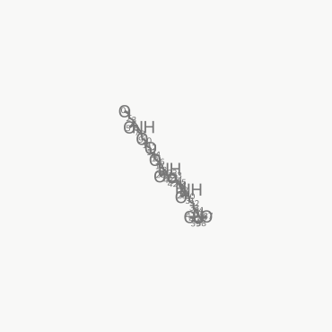 O=CCCC(=O)NCCOCCOCCOCCNC(=O)c1ccc(/C=N/NC(=O)CCCCCN2C(=O)C=CC2=O)cc1